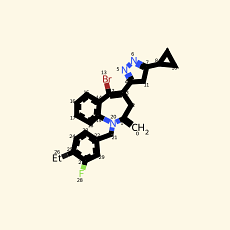 C=C1CC(C2=NN=C(C3CC3)C2)=C(Br)c2ccccc2N1Cc1ccc(CC)c(F)c1